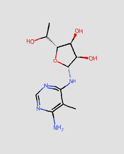 Cc1c(N)ncnc1N[C@@H]1O[C@H](C(C)O)[C@@H](O)[C@H]1O